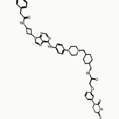 O=C(COc1cccc(C2CCC(=O)NC2=O)c1)NCC1CCC(CN2CCN(c3ccc(Nc4ncnc5c4ncn5C4CC(NC(=O)Cc5ccccc5)C4)cc3)CC2)CC1